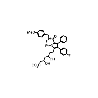 COc1ccc(CN(F)C(=O)c2c(-c3ccccc3)c(-c3ccc(F)cc3)c(CCC(O)CC(O)CC(=O)O)n2C(C)C)cc1